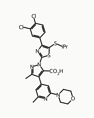 Cc1cc(-c2c(C)nn(-c3nc(-c4ccc(Cl)c(Cl)c4)c(SC(C)C)s3)c2C(=O)O)cc(N2CCOCC2)n1